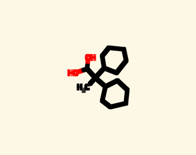 CC(C(O)O)(C1CCCCC1)C1CCCCC1